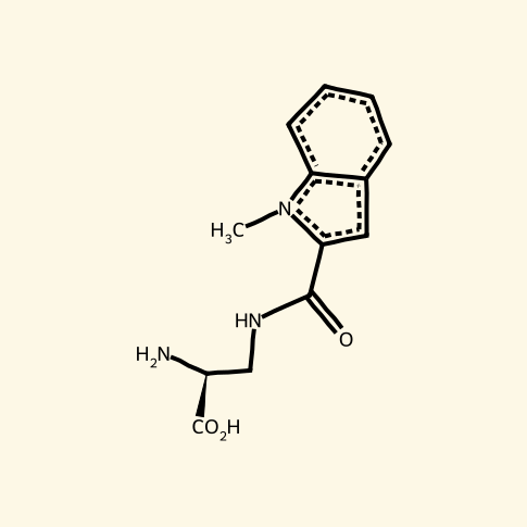 Cn1c(C(=O)NC[C@H](N)C(=O)O)cc2ccccc21